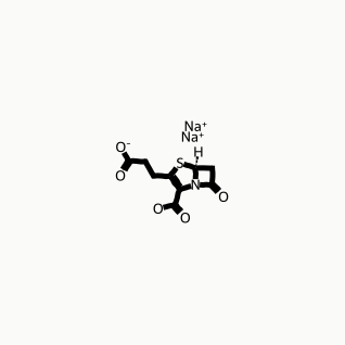 O=C([O-])CCC1=C(C(=O)[O-])N2C(=O)C[C@@H]2S1.[Na+].[Na+]